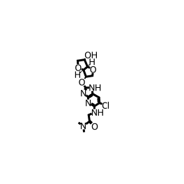 CN(C)C(=O)CNc1nc2nc(O[C@@H]3CO[C@H]4[C@@H]3OC[C@H]4O)[nH]c2cc1Cl